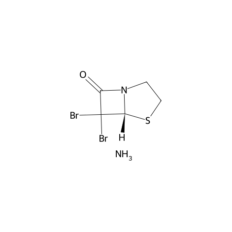 N.O=C1N2CCS[C@@H]2C1(Br)Br